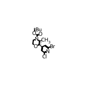 C[C@H]1[C@@H](c2cc(Cl)nc(Br)c2)OCCN1C(=O)OC(C)(C)C